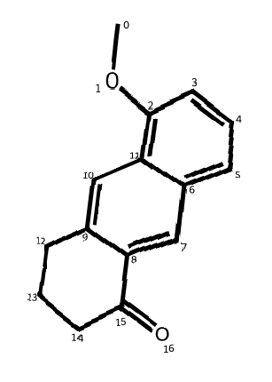 COc1cccc2cc3c(cc12)CCCC3=O